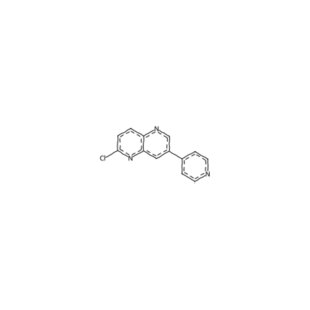 Clc1ccc2ncc(-c3c[c]ncc3)cc2n1